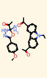 CCn1c2ccc(C(C)=O)cc2c2cc(C(C)=O)ccc21.COc1ccc(C2=NNC(N)(C(C)=O)O2)cc1